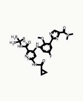 BC(B)(B)NC(=O)c1nnc(NC(=O)C2CC2)cc1Nc1cc(F)cc(-c2ncc(C(=O)N(C)C)s2)c1OC